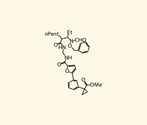 CCCCCC(C(=O)NCNC(=O)c1ccc(-c2cccc(C3(C(=O)OC)CC3)c2)o1)C(CC)N(C=O)OCc1ccccc1